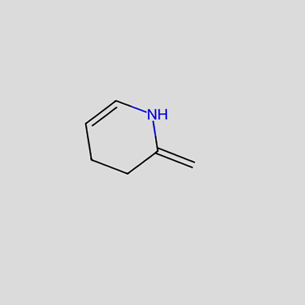 C=C1CCC=CN1